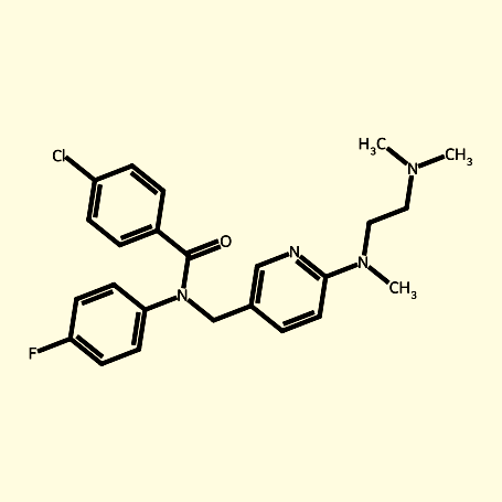 CN(C)CCN(C)c1ccc(CN(C(=O)c2ccc(Cl)cc2)c2ccc(F)cc2)cn1